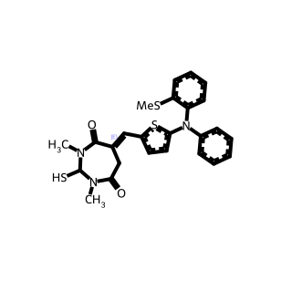 CSc1ccccc1N(c1ccccc1)c1ccc(/C=C2\CC(=O)N(C)C(S)N(C)C2=O)s1